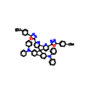 CC(C)(C)c1ccc(-c2nnc(-c3ccc4c(n3)-c3nc(-c5nnc(-c6ccc(C(C)(C)C)cc6)o5)ccc3C43c4cc(N(c5ccccc5)c5ccccc5)ccc4-c4ccc(N(c5ccccc5)c5ccccc5)cc43)o2)cc1